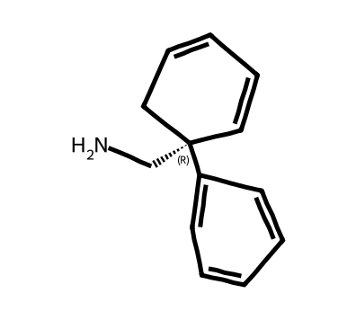 NC[C@@]1(c2ccccc2)C=CC=CC1